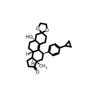 C[C@]12C[C@H](c3ccc(C4CC4)cc3)C3=C4CCC5(C[C@]4(O)CC[C@H]3[C@@H]1CCC2=O)OCCO5